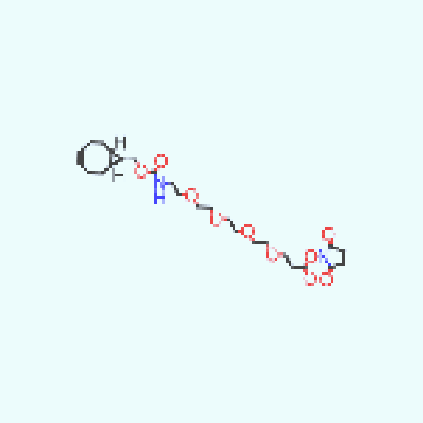 O=C(CCOCCOCCOCCOCCNC(=O)OC[C@@H]1[C@@H]2CCC#CCC[C@@H]21)ON1C(=O)CCC1=O